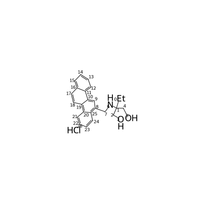 CCC(CO)(CO)NCc1cc2c3ccccc3ccc2c2ccccc12.Cl